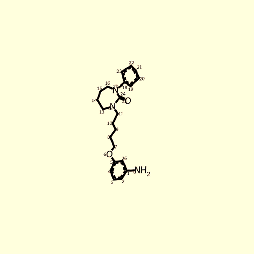 Nc1cccc(OCCCCCN2CCCCN(c3ccccc3)C2=O)c1